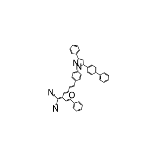 N#CC(C#N)=C1C=C(/C=C/c2ccc(N3N=C(c4ccccc4)CC3c3ccc(-c4ccccc4)cc3)cc2)OC(c2ccccc2)=C1